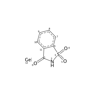 O=C1NS(=O)(=O)c2ccccc21.[Ge]